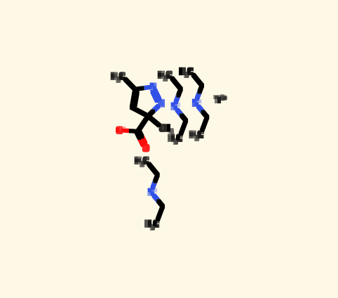 CC1=CC(C)(C(=O)[O-])N=N1.CC[N-]CC.CC[N-]CC.CC[N-]CC.[Ti+4]